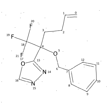 C=CCCC(OCc1ccccc1)(c1nnco1)C(F)(F)F